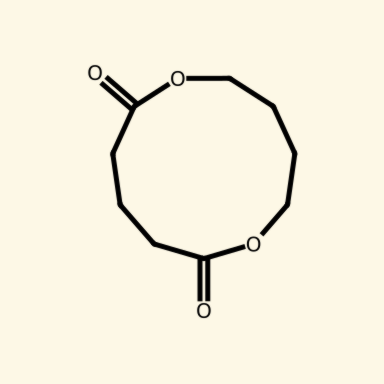 O=C1CCCC(=O)OCCCCO1